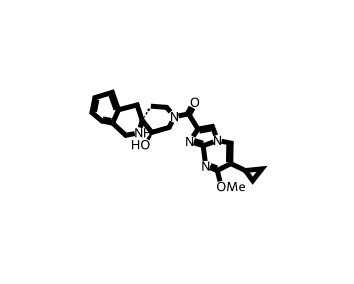 COc1nc2nc(C(=O)N3CC[C@]4(Cc5ccccc5CN4)[C@H](O)C3)cn2cc1C1CC1